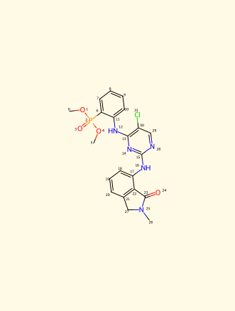 COP(=O)(OC)c1ccccc1Nc1nc(Nc2cccc3c2C(=O)N(C)C3)ncc1Cl